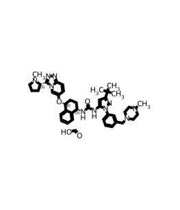 CN1CCN(Cc2cccc(-n3nc(C(C)(C)C)cc3NC(=O)N[C@H]3CC[C@@H](Oc4ccc5nnc([C@@H]6CCCN6C)n5c4)c4ccccc43)c2)CC1.O=CO